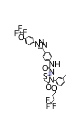 Cc1ccc(OCCCC(F)(F)F)c(N2C(=O)CS/C2=N\C(=O)Nc2ccc(-c3cn(-c4ccc(OC(F)(F)F)cc4)nn3)cc2)c1